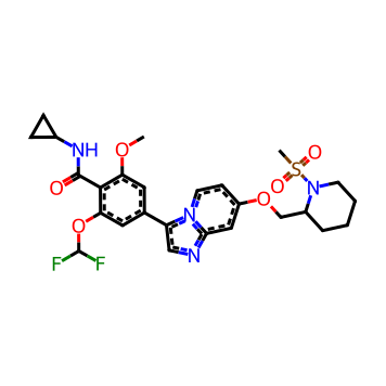 COc1cc(-c2cnc3cc(OCC4CCCCN4S(C)(=O)=O)ccn23)cc(OC(F)F)c1C(=O)NC1CC1